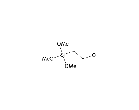 CO[Si](CC[O])(OC)OC